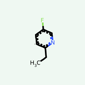 CCc1[c]cc(F)cn1